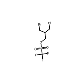 O=S(=O)(OCC(CCl)CBr)C(F)(F)F